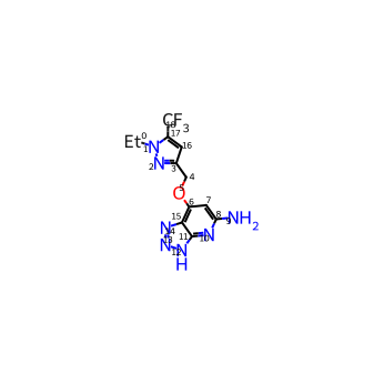 CCn1nc(COc2cc(N)nc3[nH]nnc23)cc1C(F)(F)F